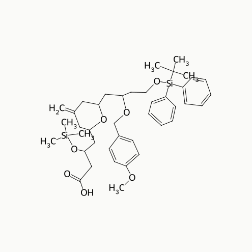 C=C1CC(CC(CCO[Si](c2ccccc2)(c2ccccc2)C(C)(C)C)OCc2ccc(OC)cc2)OC(CC(CC(=O)O)O[Si](C)(C)C)C1